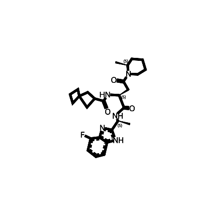 C[C@H](NC(=O)[C@H](CC(=O)N1CCCC[C@@H]1C)NC(=O)C1CC2(CCC2)C1)c1nc2c(F)cccc2[nH]1